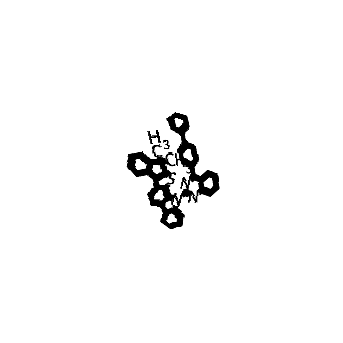 CC1(C)c2ccccc2-c2c1sc1c2ccc2c3ccccc3n(-c3nc(-c4ccc(-c5ccccc5)cc4)c4ccccc4n3)c21